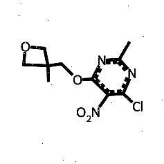 Cc1nc(Cl)c([N+](=O)[O-])c(OCC2(C)COC2)n1